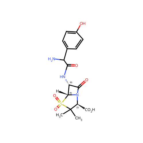 CC1(C)[C@H](C(=O)O)N2C(=O)[C@@H](NC(=O)C(N)c3ccc(O)cc3)[C@H]2S1(=O)=O